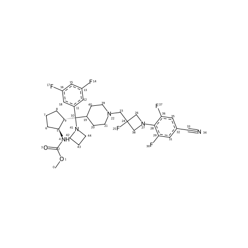 COC(=O)N[C@H]1CCC[C@@H]1C(c1cc(F)cc(F)c1)(C1CCN(CC2(F)CN(c3c(F)cc(C#N)cc3F)C2)CC1)N1CCC1